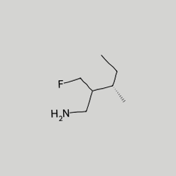 CC[C@H](C)C(CN)CF